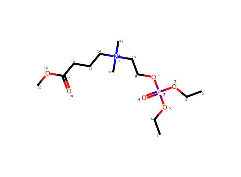 CCOP(=O)(OCC)OCC[N+](C)(C)CCCC(=O)OC